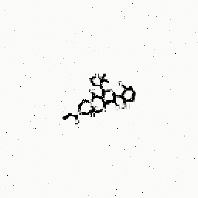 C=CC(=O)N1CCN2C(=O)c3c(C4CCOC4(C)C)nc(-c4c(O)cccc4F)c(Cl)c3OC[C@H]2C1